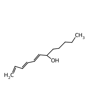 C=CC=CC=CC(O)CCCCC